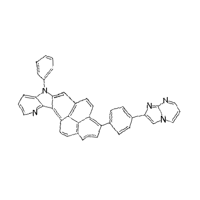 c1ccc(-n2c3cccnc3c3c4ccc5ccc(-c6ccc(-c7cn8cccnc8n7)cc6)c6ccc(cc32)c4c56)cc1